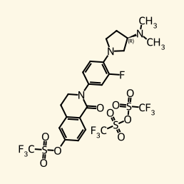 CN(C)[C@@H]1CCN(c2ccc(N3CCc4cc(OS(=O)(=O)C(F)(F)F)ccc4C3=O)cc2F)C1.O=S(=O)(OS(=O)(=O)C(F)(F)F)C(F)(F)F